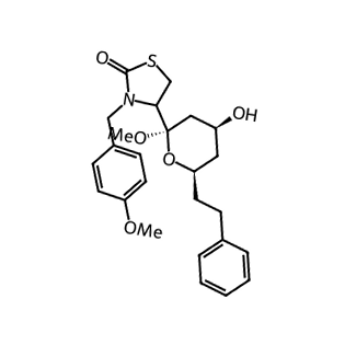 COc1ccc(CN2C(=O)SCC2[C@@]2(OC)C[C@@H](O)C[C@@H](CCc3ccccc3)O2)cc1